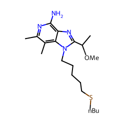 CCCCSCCCCCn1c(C(C)OC)nc2c(N)nc(C)c(C)c21